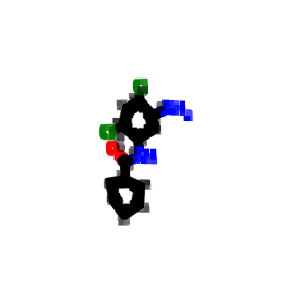 Nc1cc(NC(=O)c2ccccc2)c(Cl)cc1Cl